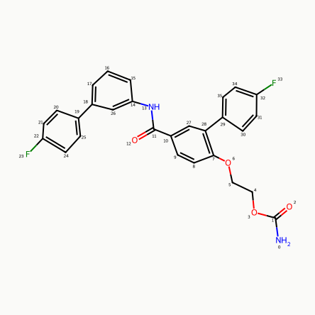 NC(=O)OCCOc1ccc(C(=O)Nc2cccc(-c3ccc(F)cc3)c2)cc1-c1ccc(F)cc1